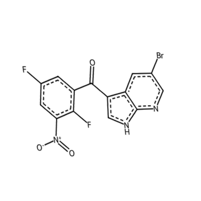 O=C(c1cc(F)cc([N+](=O)[O-])c1F)c1c[nH]c2ncc(Br)cc12